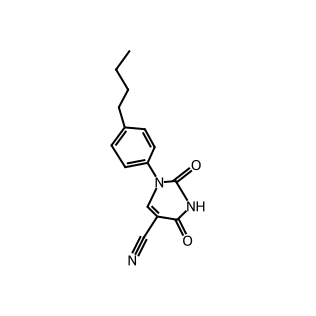 CCCCc1ccc(-n2cc(C#N)c(=O)[nH]c2=O)cc1